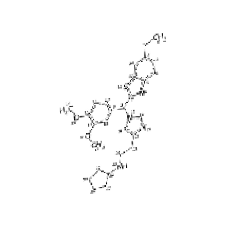 CCc1ccc2nc(C(c3ccc(OC)c(OC)c3)n3cnc(CCNC4CCCC4)c3)sc2c1